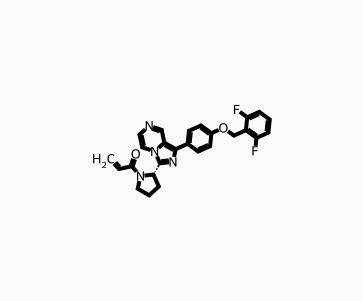 C=CC(=O)N1CCC[C@H]1c1nc(-c2ccc(OCc3c(F)cccc3F)cc2)c2cnccn12